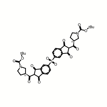 CC(C)(C)OC(=O)N1CC[C@H](C(=O)C2C(=O)c3ccc(S(=O)(=O)c4ccc5c(c4)C(=O)C(C(=O)[C@H]4CCN(C(=O)OC(C)(C)C)C4)C5=O)cc3C2=O)C1